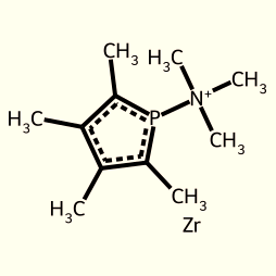 Cc1c(C)c(C)p([N+](C)(C)C)c1C.[Zr]